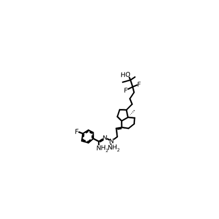 CC(C)(O)C(F)(F)CCCC1CCC2/C(=C/CN(N)/N=C(\N)c3ccc(F)cc3)CCC[C@]12C